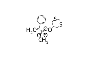 C=C(c1ccccc1)P(=O)(OC)OOC1CSCSC1